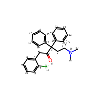 C[C@@H](CC(C(=O)Cc1ccccc1Br)(c1ccccc1)c1ccccc1)N(C)C